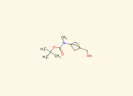 CN(C(=O)OC(C)(C)C)C12CC(CO)(C1)C2